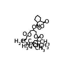 C=CC(=O)OCC(COC(=O)C(C)(CC(C)(C)C)C(C)(C)C)OC(=O)C1CCCCC1C(=O)O